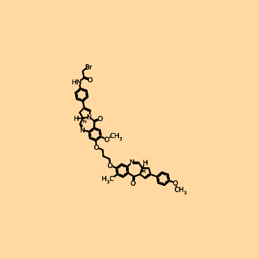 COc1ccc(C2=CC3C(=O)c4cc(C)c(OCCCOc5cc6c(cc5OC)C(=O)N5C=C(c7ccc(NC(=O)CBr)cc7)C[C@H]5C=N6)cc4N=C[C@@H]3C2)cc1